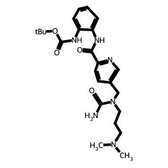 CN(C)CCCN(Cc1ccc(C(=O)Nc2ccccc2NC(=O)OC(C)(C)C)nc1)C(N)=O